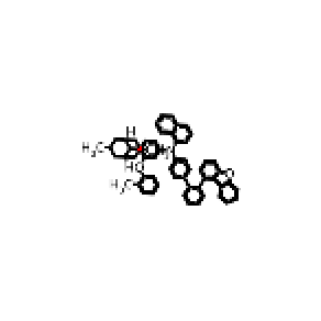 Cc1ccccc1Oc1cc(N(c2ccc(-c3ccccc3-c3cccc4oc5ccccc5c34)cc2)c2cccc3ccccc23)ccc1C1[C@H]2C[C@@H](C)C[C@@H]1C[C@@H](C)C2